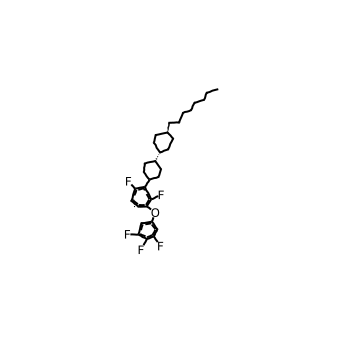 CCCCCCCC[C@H]1CC[C@H](C2CCC(c3c(F)c[c]c(Oc4cc(F)c(F)c(F)c4)c3F)CC2)CC1